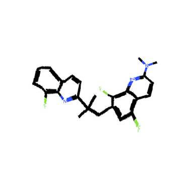 CN(C)c1ccc2c(F)cc(CC(C)(C)c3ccc4cccc(F)c4n3)c(F)c2n1